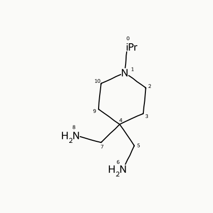 CC(C)N1CCC(CN)(CN)CC1